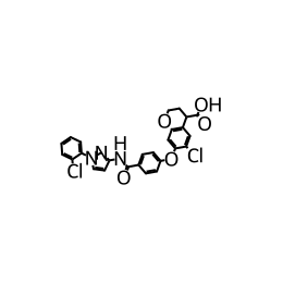 O=C(Nc1ccn(-c2ccccc2Cl)n1)c1ccc(Oc2cc3c(cc2Cl)C(C(=O)O)CCO3)cc1